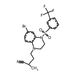 CC(C#N)CCN1CCN(S(=O)(=O)c2cccc(C(F)(F)F)c2)c2cc(Br)ccc21